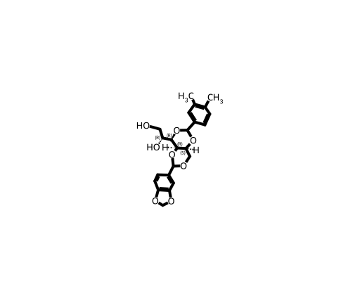 Cc1ccc(C2O[C@H]([C@H](O)CO)[C@@H]3OC(c4ccc5c(c4)OCO5)OC[C@@H]3O2)cc1C